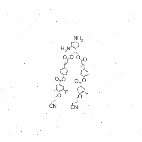 N#CCCCOc1ccc(C(=O)Oc2ccc(/C=C/C(=O)OCC(COC(=O)/C=C/c3ccc(OC(=O)c4ccc(OCCCC#N)c(F)c4)cc3)c3ccc(N)cc3N)cc2)cc1F